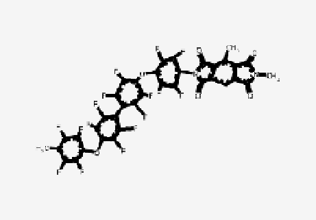 Cc1c(F)c(F)c(Oc2c(F)c(F)c(-c3c(F)c(F)c(Oc4c(F)c(F)c(-n5c(=O)c6cc7c(=O)n(C)c(=O)c7c(C)c6c5=O)c(F)c4F)c(F)c3F)c(F)c2F)c(F)c1F